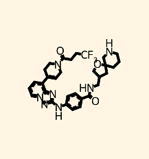 O=C(NCC1COC2(CCCNC2)C1)c1ccc(Nc2nc3c(C4=CCN(C(=O)CCC(F)(F)F)CC4)cccn3n2)cc1